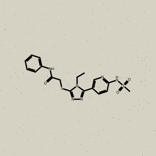 CCn1c(SCC(=O)Nc2ccccc2)nnc1-c1ccc(NS(C)(=O)=O)nc1